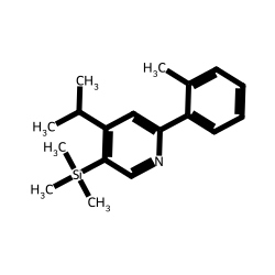 Cc1ccccc1-c1cc(C(C)C)c([Si](C)(C)C)cn1